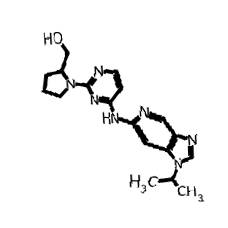 CC(C)n1cnc2cnc(Nc3ccnc(N4CCCC4CO)n3)cc21